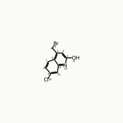 Oc1cc(CBr)c2ccc(Cl)cc2n1